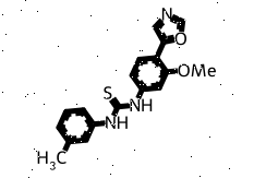 COc1cc(NC(=S)Nc2cccc(C)c2)ccc1-c1cnco1